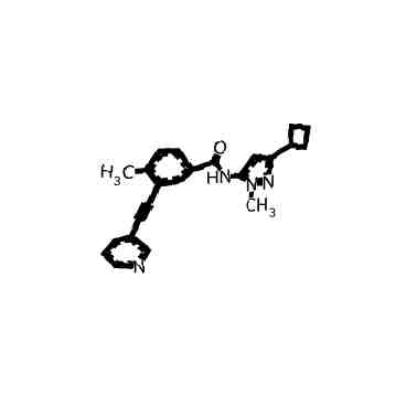 Cc1ccc(C(=O)Nc2cc(C3CCC3)nn2C)cc1C#Cc1cccnc1